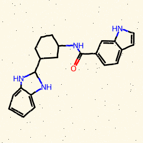 O=C(NC1CCCC(C2Nc3ccccc3N2)C1)c1ccc2cc[nH]c2c1